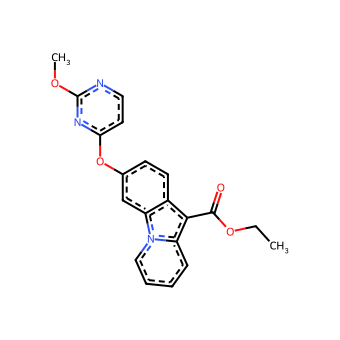 CCOC(=O)c1c2ccc(Oc3ccnc(OC)n3)cc2n2ccccc12